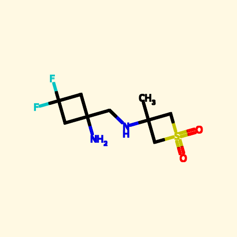 CC1(NCC2(N)CC(F)(F)C2)CS(=O)(=O)C1